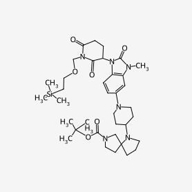 Cn1c(=O)n(C2CCC(=O)N(COCC[Si](C)(C)C)C2=O)c2ccc(N3CCC(N4CCCC45CCN(C(=O)OC(C)(C)C)C5)CC3)cc21